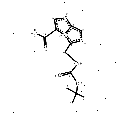 CC(C)(C)OC(=O)NCc1ncc2scc(C(N)=O)n12